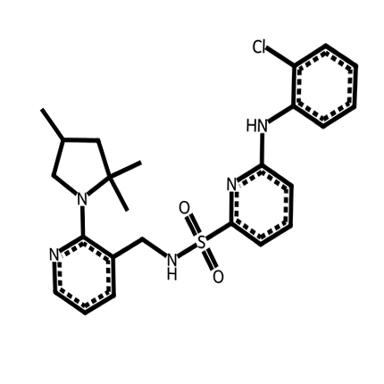 CC1CN(c2ncccc2CNS(=O)(=O)c2cccc(Nc3ccccc3Cl)n2)C(C)(C)C1